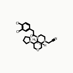 N#CCN1CCN(C(=O)Cc2ccc(Cl)c(Cl)c2)[C@@H]2C(N3CCCC3)COC[C@H]21